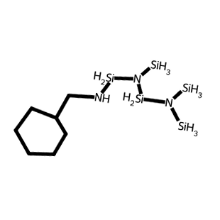 [SiH3]N([SiH3])[SiH2]N([SiH3])[SiH2]NCC1CCCCC1